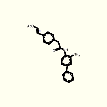 CC(=O)O/C=C/c1ccc(CC(=O)Nc2ccc(-c3ccccc3)cc2N)cc1